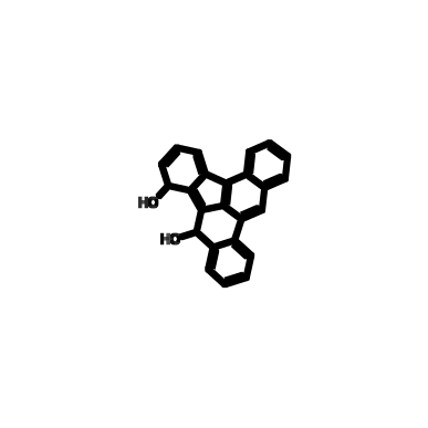 OC1C=CC=C2C1=C1c3c(cc4ccccc4c32)-c2ccccc2C1O